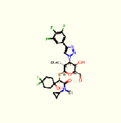 CCN(C(=O)[C@@H](S[C@@H]1O[C@H](CO)[C@H](O)[C@H](n2cc(-c3cc(F)c(F)c(F)c3)nn2)[C@H]1OC)C1(O)CCC(F)(F)CC1)C1CC1